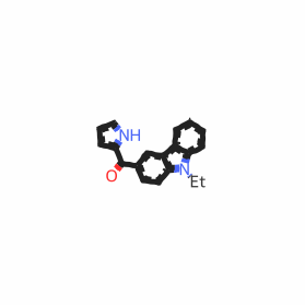 CCn1c2cc[c]cc2c2cc(C(=O)c3ccc[nH]3)ccc21